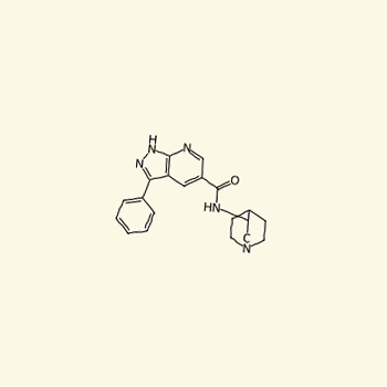 O=C(NC1CN2CCC1CC2)c1cnc2[nH]nc(-c3ccccc3)c2c1